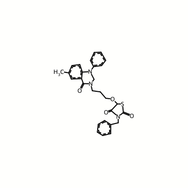 Cc1ccc2c(c1)C(=O)N(CCCOC1SC(=O)N(Cc3ccccc3)C1=O)CN2c1ccccc1